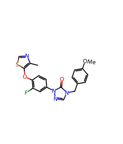 COc1ccc(Cn2cnn(-c3ccc(Oc4scnc4C)c(F)c3)c2=O)cc1